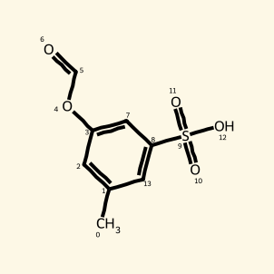 Cc1cc(OC=O)cc(S(=O)(=O)O)c1